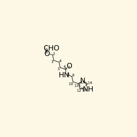 O=COCCCCC(=O)NCCc1c[nH]cn1